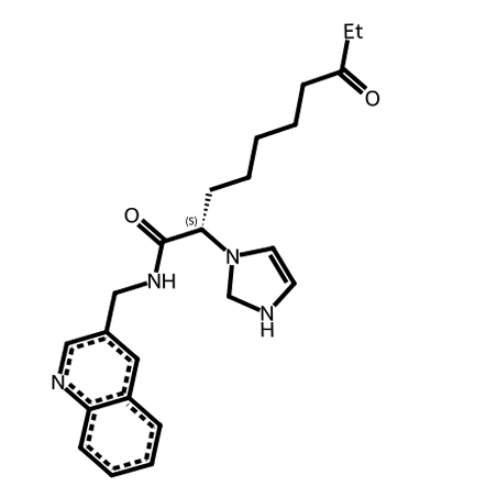 CCC(=O)CCCCC[C@@H](C(=O)NCc1cnc2ccccc2c1)N1C=CNC1